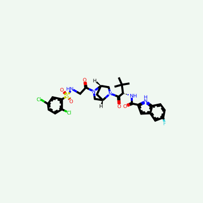 CC(C)(C)[C@H](NC(=O)c1cc2cc(F)ccc2[nH]1)C(=O)N1C[C@@H]2C[C@H]1CN2C(=O)CNS(=O)(=O)c1cc(Cl)ccc1Cl